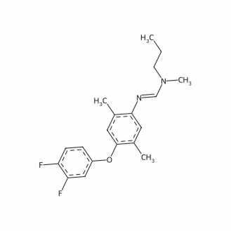 CCCN(C)C=Nc1cc(C)c(Oc2ccc(F)c(F)c2)cc1C